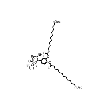 CCCCCCCCCCCCCCCCCCCCCC(=O)Oc1ccc(C(OS(C)(=O)=O)C(N)C(C)C)cc1OC(=O)CCCCCCCCCCCCCCCCCCCCC.CCO